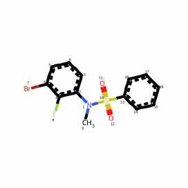 CN(c1cccc(Br)c1F)S(=O)(=O)c1ccccc1